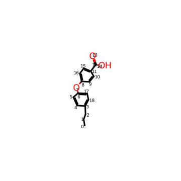 CCCc1ccc(Oc2ccc(C(=O)O)cc2)cc1